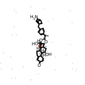 C[C@H](c1ccc(CC23CC(N)C(C2)C3)cc1)[C@@H]1O[C@@H]2C[C@H]3[C@@H]4CCC5=CC(=O)C=C[C@]5(C)[C@H]4[C@@H](O)C[C@]3(C)[C@]2(C(=O)CO)O1